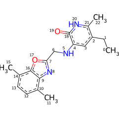 CCc1cc(NCc2nc3c(C)ccc(C)c3o2)c(=O)[nH]c1C